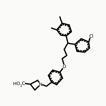 Cc1ccc(C(CCCOc2ccc(CN3CC(C(=O)O)C3)cc2)c2cccc(Cl)c2)cc1C